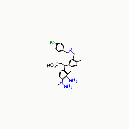 Cc1ccc(C(CC(=O)O)c2ccc(N(C)N)c(N)c2C)cc1CN(C)Cc1ccc(Br)cc1